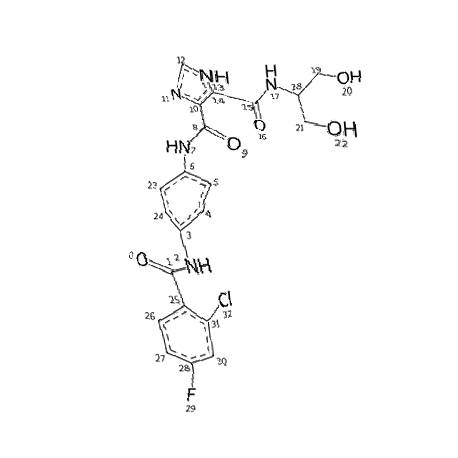 O=C(Nc1ccc(NC(=O)c2nc[nH]c2C(=O)NC(CO)CO)cc1)c1ccc(F)cc1Cl